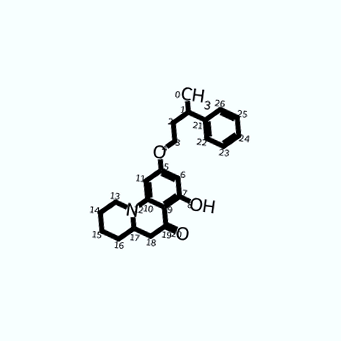 CC(CCOc1cc(O)c2c(c1)N1CCCCC1CC2=O)c1ccccc1